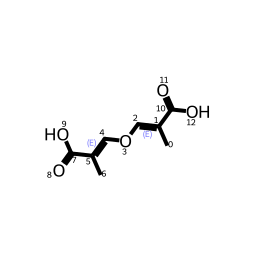 C/C(=C\O/C=C(\C)C(=O)O)C(=O)O